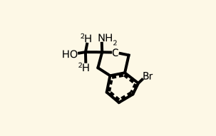 [2H]C([2H])(O)C1(N)CCc2c(Br)cccc2C1